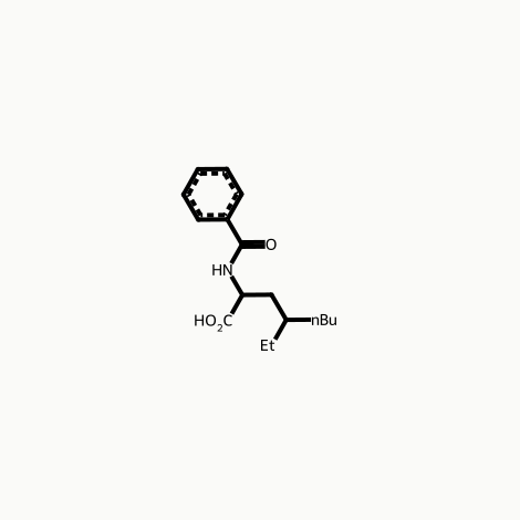 CCCCC(CC)CC(NC(=O)c1ccccc1)C(=O)O